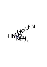 C/C(C=N)=C(/N)c1cc(C(=O)N2CCC(c3ccc(C#N)cc3)CC2)ccc1C